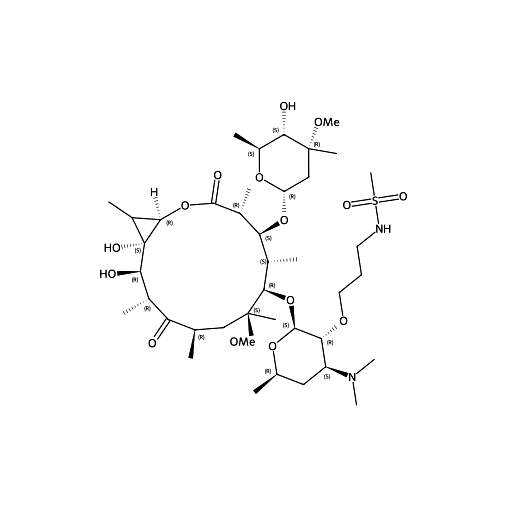 CO[C@]1(C)C[C@H](O[C@H]2[C@H](C)[C@@H](O[C@@H]3O[C@H](C)C[C@H](N(C)C)[C@H]3OCCCNS(C)(=O)=O)[C@@](C)(OC)C[C@@H](C)C(=O)[C@H](C)[C@@H](O)[C@@]3(O)C(C)[C@H]3OC(=O)[C@@H]2C)O[C@@H](C)[C@@H]1O